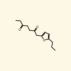 CCCc1ccc(CC(=O)CCC(=O)CC)o1